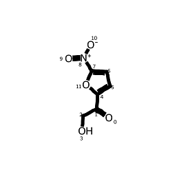 O=C(CO)c1ccc([N+](=O)[O-])o1